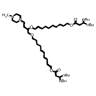 CCCCC(CCCC)CC(=O)OCCCCCCCCCCOCC(CCN1CCN(C)CC1)OCCCCCCCCCCOC(=O)CC(CCCC)CCCC